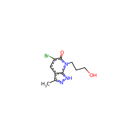 Cc1n[nH]c2c1cc(Br)c(=O)n2CCCO